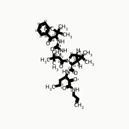 C=CCNC(=O)C(=O)C(CCC)NC(=O)[C@@H]1[C@@H]2[C@H](CN1C(=O)[C@@H](NC(=O)NC(C(=O)c1ccccc1)C(C)(C)C)C(C)(C)C)C2(C)C